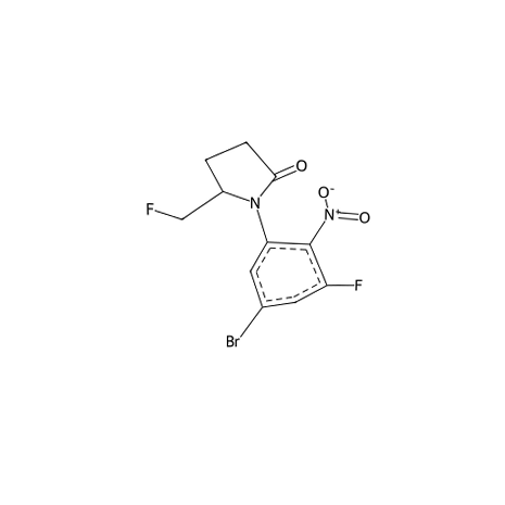 O=C1CCC(CF)N1c1cc(Br)cc(F)c1[N+](=O)[O-]